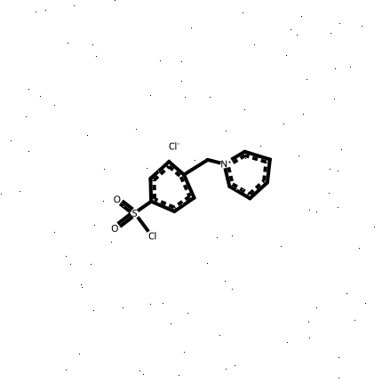 O=S(=O)(Cl)c1ccc(C[n+]2ccccc2)cc1.[Cl-]